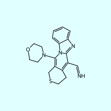 N=Cc1c2c(c(N3CCOCC3)n3c1nc1ccccc13)CSCC2